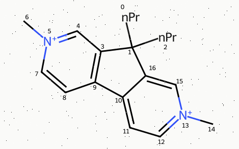 CCCC1(CCC)c2c[n+](C)ccc2-c2cc[n+](C)cc21